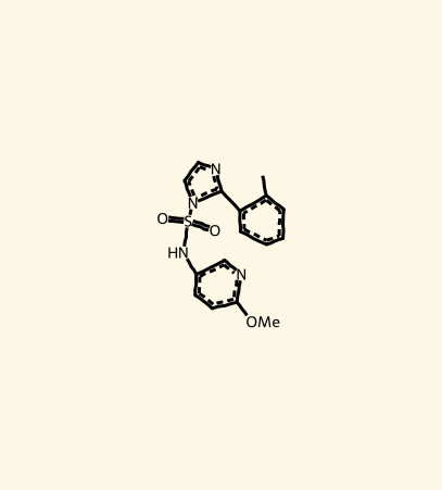 COc1ccc(NS(=O)(=O)n2ccnc2-c2ccccc2C)cn1